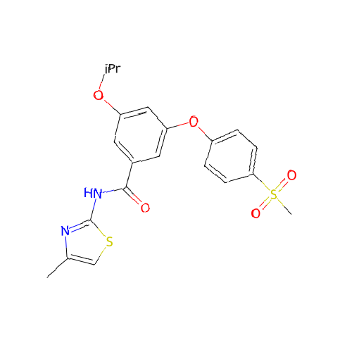 Cc1csc(NC(=O)c2cc(Oc3ccc(S(C)(=O)=O)cc3)cc(OC(C)C)c2)n1